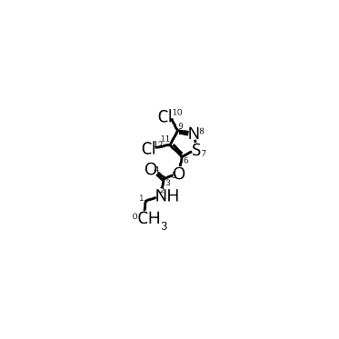 CCNC(=O)Oc1snc(Cl)c1Cl